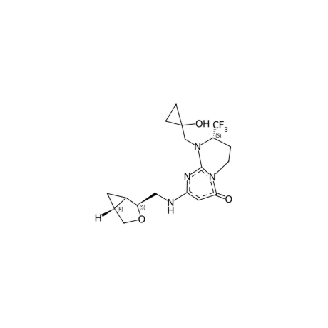 O=c1cc(NC[C@H]2OC[C@@H]3CC32)nc2n1CC[C@@H](C(F)(F)F)N2CC1(O)CC1